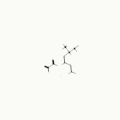 C=C(C)C(=O)OC(CC(C)C)CC(O)(C(F)(F)F)C(F)(F)F